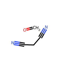 C=O.N#CCC#N